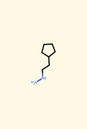 NNCCC1CCCC1